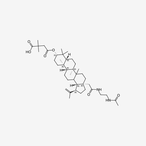 C=C(C)[C@@H]1CC[C@]2(CC(=O)NCCNC(C)=O)CCC3(C)C(CC[C@@H]4[C@@]5(C)CC[C@H](OC(=O)CC(C)(C)C(=O)O)C(C)(C)[C@@H]5CC[C@]43C)[C@@H]12